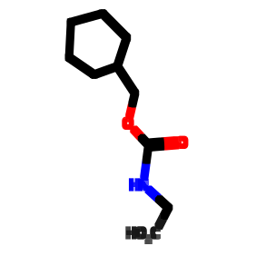 O=C(O)CNC(=O)OCC1CCCCC1